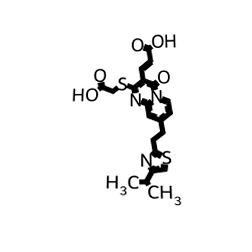 CC(C)c1csc(CCc2ccn3c(=O)c(C=CC(=O)O)c(SCC(=O)O)nc3c2)n1